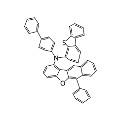 c1ccc(-c2ccc(N(c3cccc4c3sc3ccccc34)c3cccc4oc5c(-c6ccccc6)c6ccccc6cc5c34)cc2)cc1